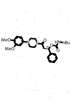 CCCCNC(=O)O[C@H](CC(=O)N1CCN(c2ccc(OC)c(OC)c2)CC1)c1ccccc1